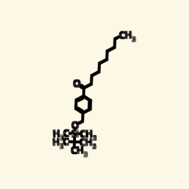 CCCCCCCCCC(=O)c1ccc(CO[Si](C)(C)C(C)(C)C)cc1